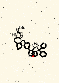 CC(C)(C)OC(=O)N[C@@H]1CCc2ccccc2N(Cc2ccc(-c3ccccc3-c3nnnn3C(c3ccccc3)(c3ccccc3)c3ccccc3)cc2)C1=O